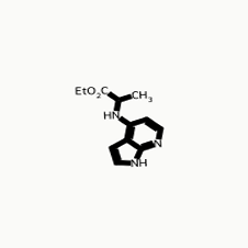 CCOC(=O)C(C)Nc1ccnc2[nH]ccc12